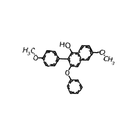 COc1ccc(-c2c(Oc3ccccc3)cc3cc(OC)ccc3c2O)cc1